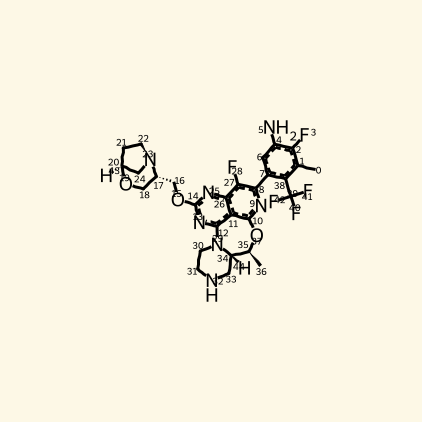 Cc1c(F)c(N)cc(-c2nc3c4c(nc(OC[C@@H]5CO[C@H]6CC[N@]5C6)nc4c2F)N2CCNC[C@H]2[C@H](C)O3)c1C(F)(F)F